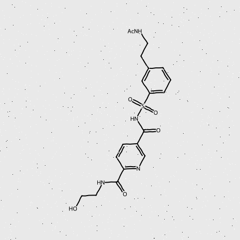 CC(=O)NCCc1cccc(S(=O)(=O)NC(=O)c2ccc(C(=O)NCCO)nc2)c1